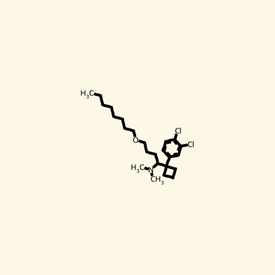 CCCCCCCCOCCCC(N(C)C)C1(c2ccc(Cl)c(Cl)c2)CCC1